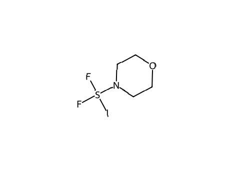 FS(F)(I)N1CCOCC1